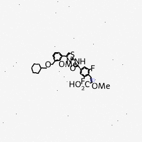 CO/C(=C/c1c(F)cc(C(=O)Nc2nc(-c3cccc(COCC4CCCCC4)c3OC)cs2)cc1F)C(=O)O